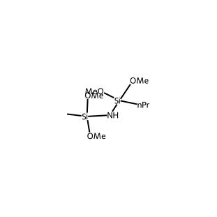 CCC[Si](N[Si](C)(OC)OC)(OC)OC